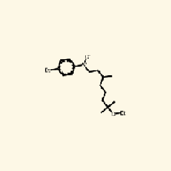 CCOC(C)(C)CCCC(C)CC[S+]([O-])c1ccc(CC)cc1